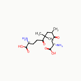 CC(CC(C)(C)C(=O)CC[C@H](N)C(=O)O)C(=O)C[C@H](N)C(=O)O